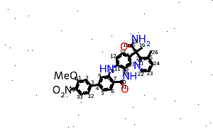 COc1cc(-c2ccc3c(c2)Nc2ccc(C(C)(C(N)=O)c4ncccc4C)cc2NC3=O)ccc1[N+](=O)[O-]